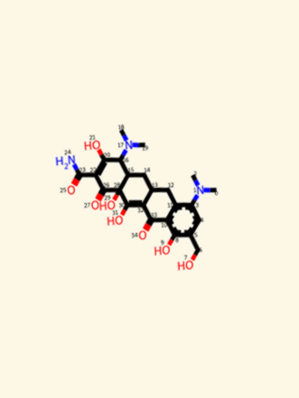 CN(C)c1cc(CO)c(O)c2c1CC1CC3C(N(C)C)C(O)=C(C(N)=O)C(=O)C3(O)C(O)=C1C2=O